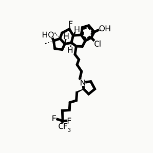 C[C@]12C[C@H](F)[C@@H]3c4ccc(O)c(Cl)c4CC(CCCCCN4CCC[C@H]4CCCCCC(F)(F)C(F)(F)F)[C@H]3[C@@H]1CC[C@@]2(C)O